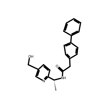 C[C@@H](NC(=O)Cc1ccc(-c2ccccc2)cc1)c1ccc(CO)cn1